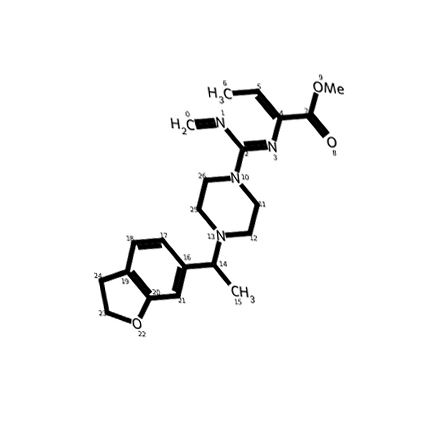 C=N/C(=N\C(=C/C)C(=O)OC)N1CCN(C(C)c2ccc3c(c2)OCC3)CC1